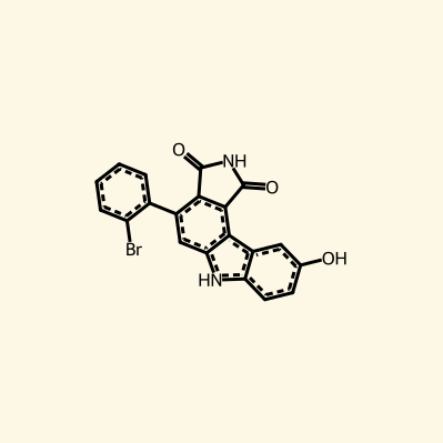 O=C1NC(=O)c2c1c(-c1ccccc1Br)cc1[nH]c3ccc(O)cc3c21